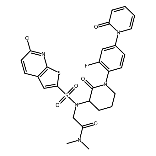 CN(C)C(=O)CN(C1CCCN(c2ccc(-n3ccccc3=O)cc2F)C1=O)S(=O)(=O)c1cc2ccc(Cl)nc2s1